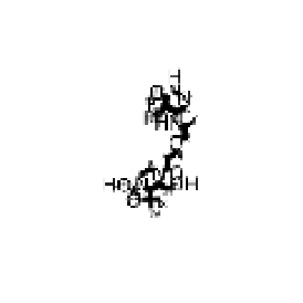 CC(COCCC(=O)N1CCN(C(=O)O)C(C(C)(C)C)C1CO)Nc1cn[nH]c(=O)c1C(F)(F)F